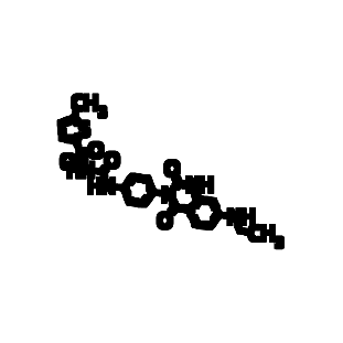 CCNc1ccc2c(=O)n(-c3ccc(NC(=O)NS(=O)(=O)c4ccc(C)s4)cc3)c(=O)[nH]c2c1